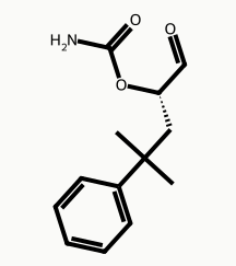 CC(C)(C[C@@H](C=O)OC(N)=O)c1ccccc1